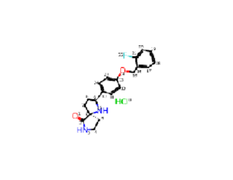 Cl.O=C1NCC[C@@]12CC[C@@H](c1ccc(OCc3ccccc3F)cc1)N2